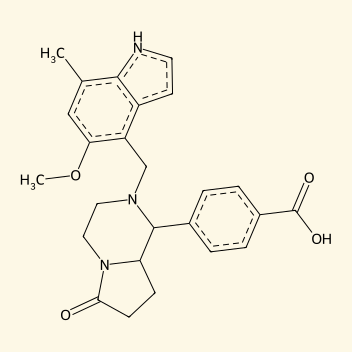 COc1cc(C)c2[nH]ccc2c1CN1CCN2C(=O)CCC2C1c1ccc(C(=O)O)cc1